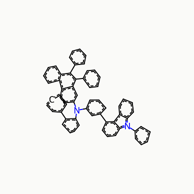 c1ccc(-c2ccccc2N(c2cccc(-c3cccc4c3c3ccccc3n4-c3ccccc3)c2)c2ccc3c(c2)c(-c2ccccc2)c(-c2ccccc2)c2ccccc23)cc1